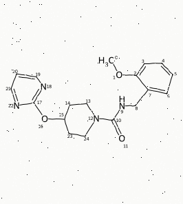 COc1ccccc1CNC(=O)N1CCC(Oc2ncccn2)CC1